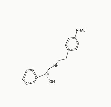 CC(=O)Nc1ccc(CCNC[C@H](O)c2ccccc2)cc1